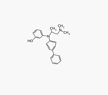 CC(CN(C)C)N(c1ccc(-c2ccccc2)cc1)c1cccc(O)c1